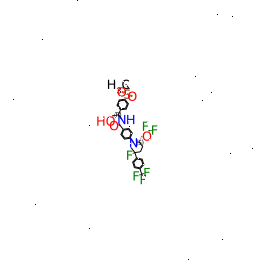 CCS(=O)(=O)c1ccc([C@H](CO)NC(=O)c2ccc(N3CC(F)(c4ccc(C(F)(F)F)cc4)CC[C@H]3COC(F)F)cc2)cc1